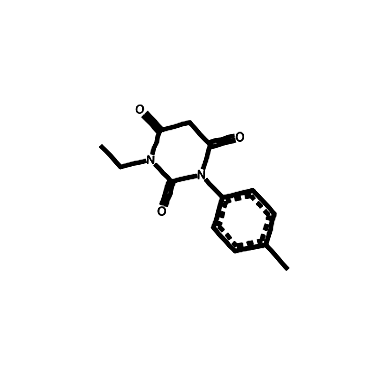 CCN1C(=O)CC(=O)N(c2ccc(C)cc2)C1=O